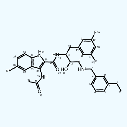 CCc1cccc(CNC[C@@H](O)[C@H](Cc2cc(F)cc(F)c2)NC(=O)c2[nH]c3ccc(F)cc3c2NC(C)=O)c1